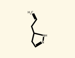 C=CCC1CC=NN1